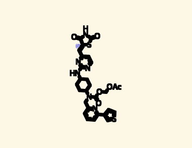 CC(=O)OCOC(=O)N(Cc1cccc(-c2ccsc2)n1)C1CCC(Nc2nccc(/C=C3\SC(=O)NC3=O)n2)CC1